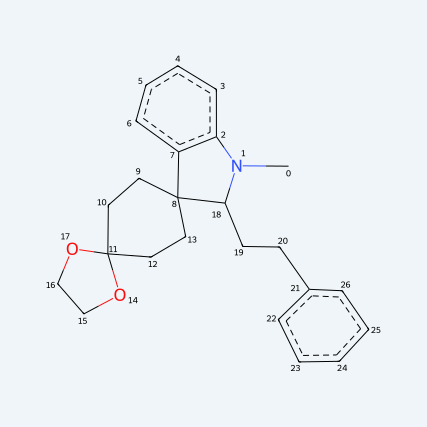 CN1c2ccccc2C2(CCC3(CC2)OCCO3)C1CCc1ccccc1